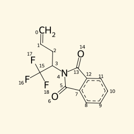 C=CCC(N1C(=O)c2ccccc2C1=O)C(F)(F)F